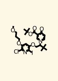 COCCCOc1cc(OCC(n2ccc(=O)c(C(=O)OC(C)(C)C)c2)C(C)(C)C)c(I)nc1Cl